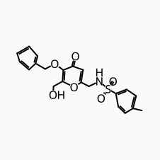 Cc1ccc(S(=O)(=O)NCc2cc(=O)c(OCc3ccccc3)c(CO)o2)cc1